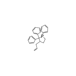 C=CCC1CCP(c2ccccc2)C1(c1ccccc1)c1ccccc1